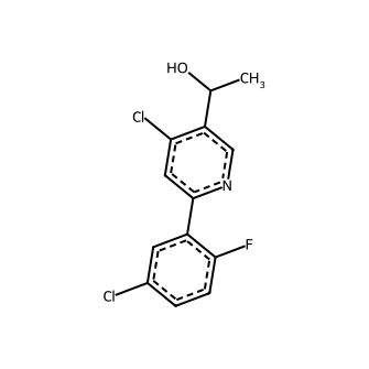 CC(O)c1cnc(-c2cc(Cl)ccc2F)cc1Cl